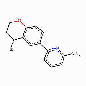 Cc1cccc(-c2ccc3c(c2)C(C(C)(C)C)CCO3)n1